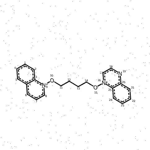 c1ccc2c(c1)ccc[n+]2OCCCCO[n+]1ccnc2ccccc21